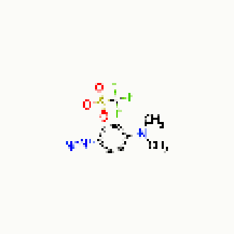 CN(C)c1ccc([N+]#N)cc1.O=S(=O)([O-])C(F)(F)F